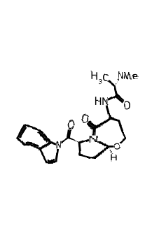 CN[C@@H](C)C(=O)NC1CCO[C@H]2CC[C@@H](C(=O)n3ccc4ccccc43)N2C1=O